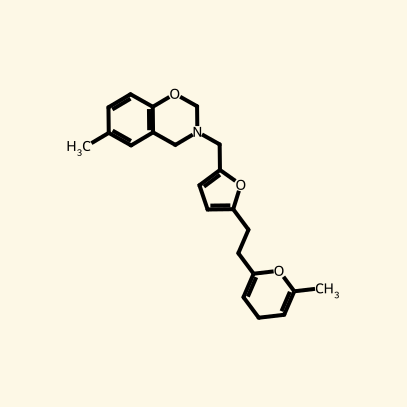 CC1=CCC=C(CCc2ccc(CN3COc4ccc(C)cc4C3)o2)O1